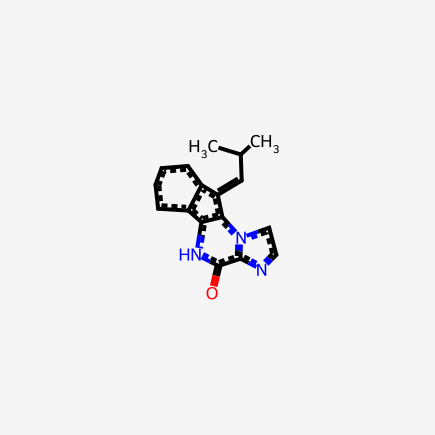 CC(C)C=c1c2ccccc2c2[nH]c(=O)c3nccn3c12